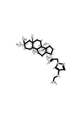 CCOc1cnn(CC(=O)[C@H]2CC[C@H]3[C@@H]4CC[C@H]5C[C@](C)(O)CC[C@]5(C)C4CC[C@]23C)c1